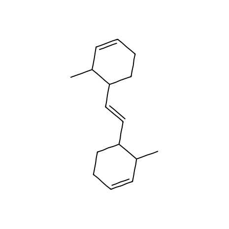 CC1C=CCCC1C=CC1CCC=CC1C